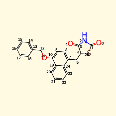 O=C1NC(=O)C(Cc2ccc(OCc3ccccc3)c3ccccc23)S1